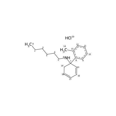 CCCCCCNC1(c2ccccc2C)C=CC=CC1.Cl